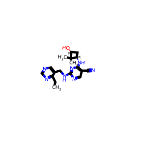 CCc1ncncc1CNc1ncc(C#N)c(N[C@H]2C[C@@H](O)C2(C)C)n1